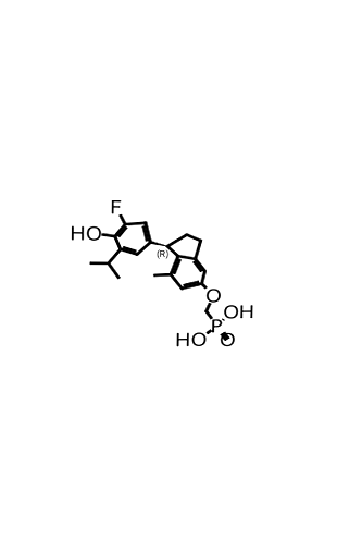 Cc1cc(OCP(=O)(O)O)cc2c1[C@@H](c1cc(F)c(O)c(C(C)C)c1)CC2